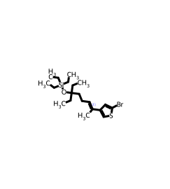 CCC(CC)(CC/C=C(\C)c1csc(Br)c1)O[Si](CC)(CC)CC